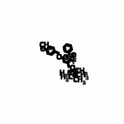 COc1ccc(COCCC(CO[Si](C)(C)C(C)(C)C)=C(F)S(=O)(=O)c2ccccc2)cc1